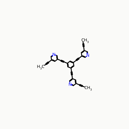 CC#Cc1cncc(C#Cc2cc(C#Cc3cncc(C#CC)c3)cc(C#Cc3cncc(C#CC)c3)c2)c1